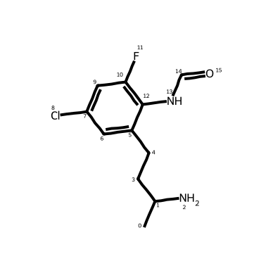 CC(N)CCc1cc(Cl)cc(F)c1NC=O